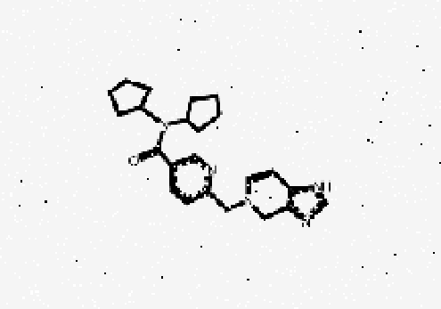 O=C(c1ccc(CN2C=Cc3[nH]cnc3C2)nc1)N(C1CCCC1)C1CCCC1